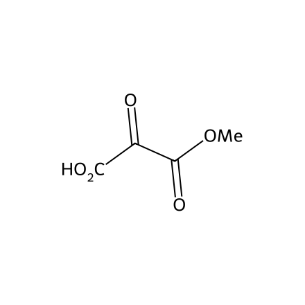 COC(=O)C(=O)C(=O)O